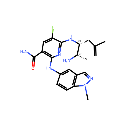 C=C(C)C[C@@H](Nc1nc(Nc2ccc3c(cnn3C)c2)c(C(N)=O)cc1F)[C@H](C)N